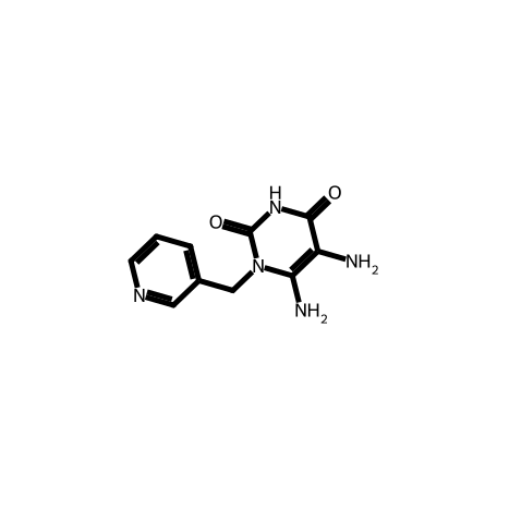 Nc1c(N)n(Cc2cccnc2)c(=O)[nH]c1=O